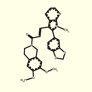 COc1cc2c(cc1OC)CN(C(=O)/C=C/c1c(-c3ccc4c(c3)OCO4)n(C)c3ncccc13)CC2